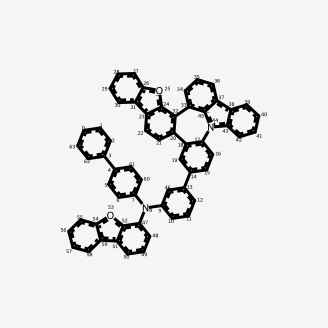 c1ccc(-c2ccc(N(c3cccc(-c4ccc5c(c4)-c4ccc6c(oc7ccccc76)c4-c4cccc6c7ccccc7n-5c46)c3)c3cccc4c3oc3ccccc34)cc2)cc1